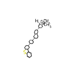 C[Si](C)(C)c1ccc(-c2ccc3cc(-c4ccc(-c5ccc6sc7ccccc7c6c5)cc4)ccc3c2)cc1